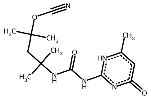 Cc1cc(=O)nc(NC(=O)NC(C)(C)CC(C)(C)OC#N)[nH]1